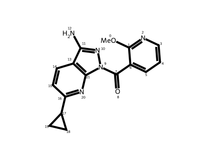 COc1ncccc1C(=O)n1nc(N)c2ccc(C3CC3)nc21